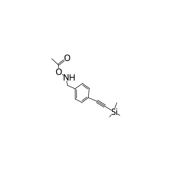 CC(=O)ONCc1ccc(C#C[Si](C)(C)C)cc1